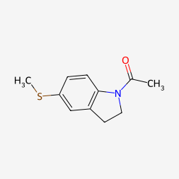 CSc1ccc2c(c1)CCN2C(C)=O